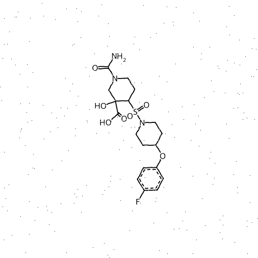 NC(=O)N1CCC(S(=O)(=O)N2CCC(Oc3ccc(F)cc3)CC2)C(O)(C(=O)O)C1